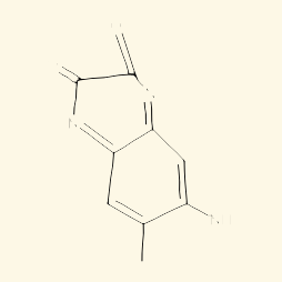 Cc1cc2c(cc1[NH])=NC(=O)C(=O)N=2